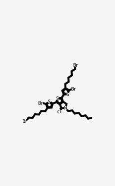 CCCCCCCCN1Cc2c(-c3cc(CCCCCCBr)c(Br)s3)sc(-c3cc(CCCCCCBr)c(Br)s3)c2C1=O